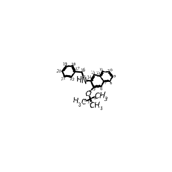 CC(C)(C)Oc1cc2ccccc2cc1NCc1ccccc1